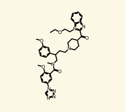 CCOCCn1c(C(=O)C2CCN(CCC(CN(C)C(=O)c3cc(-n4cnnn4)ccc3OC)c3cccc(OC)c3)CC2)nc2ccccc21